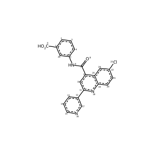 O=C(O)c1cccc(NC(=O)c2cc(-c3cccnc3)nc3ccc(Cl)cc23)c1